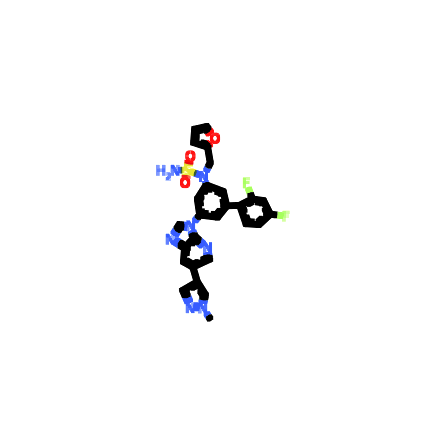 Cn1cc(-c2cnc3c(c2)ncn3-c2cc(-c3ccc(F)cc3F)cc(N(Cc3ccco3)S(N)(=O)=O)c2)cn1